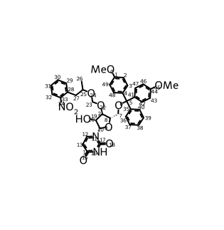 COc1ccc(C(OC[C@@H]2O[C@H](n3ccc(=O)[nH]c3=O)[C@@H](O)[C@H]2OCOC(C)Cc2ccccc2[N+](=O)[O-])(c2ccccc2)c2ccc(OC)cc2)cc1